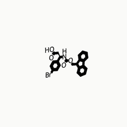 O=C(O)C[C@@H](NC(=O)OCC1c2ccccc2-c2ccccc21)c1ccc(Br)cc1